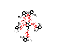 Cc1cccc(C)c1C(=O)OOC(=O)OCCC(COC(=O)OOC(=O)c1c(C)cccc1C)C(COC(=O)OOC(=O)c1c(C)cccc1C)C(CCOC(=O)OOC(=O)c1c(C)cccc1C)COC(=O)OOC(=O)c1c(C)cccc1C